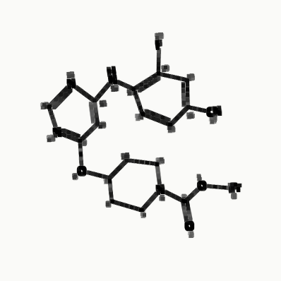 CC(C)OC(=O)N1CCC(Oc2cc(Nc3ccc(C#N)cc3F)ncn2)CC1